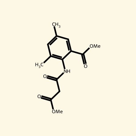 COC(=O)CC(=O)Nc1c(C)cc(C)cc1C(=O)OC